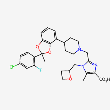 Cc1c(C(=O)O)nc(CN2CCC(c3cccc4c3OC(C)(c3ccc(Cl)cc3F)O4)CC2)n1CC1CCO1